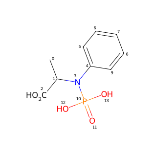 CC(C(=O)O)N(c1ccccc1)P(=O)(O)O